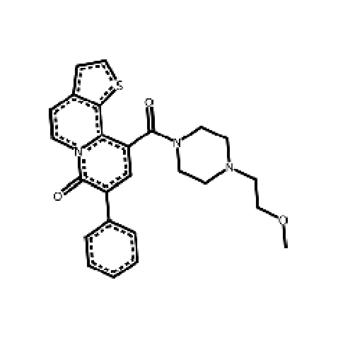 COCCN1CCN(C(=O)c2cc(-c3ccccc3)c(=O)n3ccc4ccsc4c23)CC1